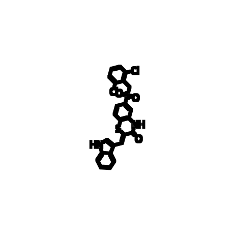 O=C1Nc2cc(S(=O)(=O)Cc3c(Cl)cccc3Cl)ccc2SC1=Cc1c[nH]c2ccccc12